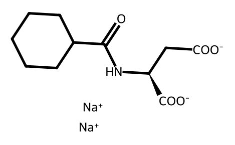 O=C([O-])C[C@H](NC(=O)C1CCCCC1)C(=O)[O-].[Na+].[Na+]